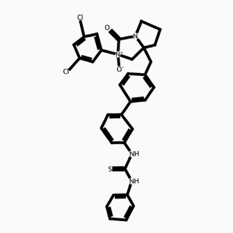 O=C1N2CCCC2(Cc2ccc(-c3cccc(NC(=S)Nc4ccccc4)c3)cc2)C[N+]1([O-])c1cc(Cl)cc(Cl)c1